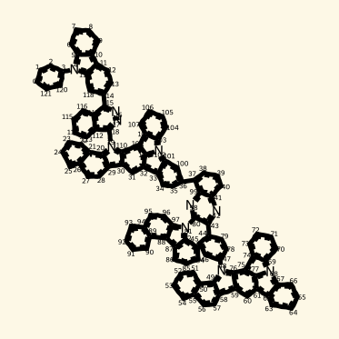 c1ccc(-n2c3ccccc3c3ccc(-c4nnc(-n5c6c7ccccc7ccc6c6cc7c8ccc(-c9cccc%10nc(-c%11ccc(-n%12c%13c%14ccccc%14ccc%13c%13cc%14c%15ccccc%15n%15c%16ccccc%16c(c%13%12)c%14%15)cc%11)c(-n%11c%12ccccc%12c%12c%13ccccc%13ccc%12%11)nc9%10)cc8n8c9ccccc9c(c65)c78)c5ccccc45)cc32)cc1